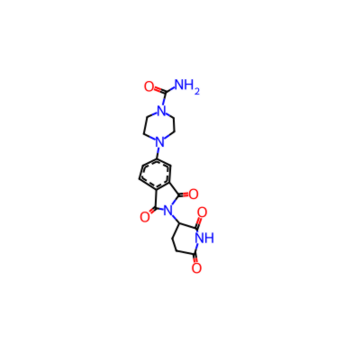 NC(=O)N1CCN(c2ccc3c(c2)C(=O)N(C2CCC(=O)NC2=O)C3=O)CC1